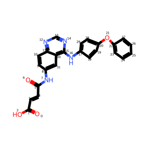 O=C(O)/C=C/C(=O)Nc1ccc2ncnc(Nc3ccc(Oc4ccccc4)cc3)c2c1